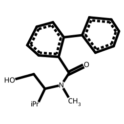 CC(C)C(CO)N(C)C(=O)c1ccccc1-c1ccccc1